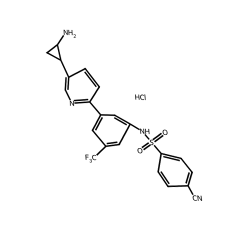 Cl.N#Cc1ccc(S(=O)(=O)Nc2cc(-c3ccc(C4CC4N)cn3)cc(C(F)(F)F)c2)cc1